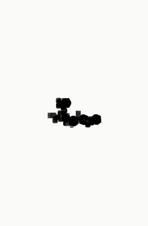 Cc1c(-c2cccc(NC3CCN(S(=O)(=O)Cc4ccccc4)CC3)c2)sc(C(=O)OCc2ccccc2[N+](=O)[O-])c1OCC(=O)O